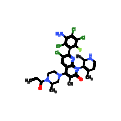 C=CC(=O)N1CCN(c2c(C#N)c(=O)n(C3=C(C)C=CNC3C(C)C)c3nc(-c4c(F)c(Cl)c(Cl)c(N)c4Cl)c(Cl)cc23)C[C@H]1C